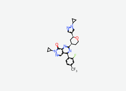 O=c1c2nc([C@@H]3CCO[C@H](c4cnn(C5CC5)c4)C3)nc(-c3ccc(C(F)(F)F)cc3F)c2cnn1C1CC1